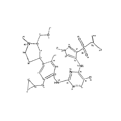 COCC1CC(c2cc(OC3CC3)c(Nc3ncc(Cl)c(Nc4cn(C)nc4S(=O)(=O)C(C)C)n3)cc2C)CCN1C